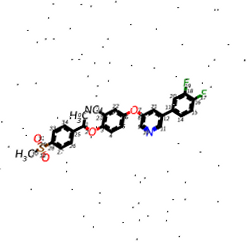 CC(Oc1ccc(Oc2cncc(-c3ccc(F)c(F)c3)c2)cc1C#N)c1ccc(S(C)(=O)=O)cc1